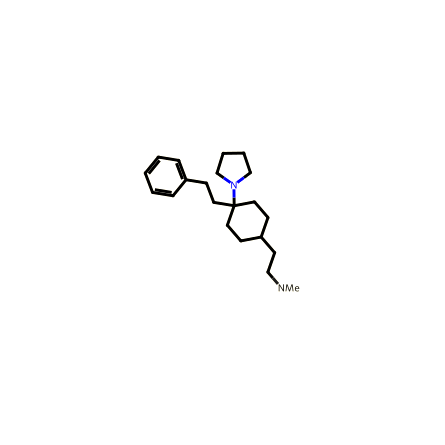 CNCCC1CCC(CCc2ccccc2)(N2CCCC2)CC1